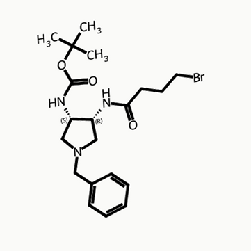 CC(C)(C)OC(=O)N[C@H]1CN(Cc2ccccc2)C[C@H]1NC(=O)CCCBr